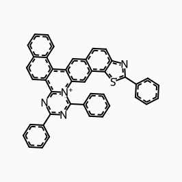 c1ccc(-c2nc(-c3ccccc3)[n+]3c4cc5c(ccc6nc(-c7ccccc7)sc65)cc4c4c5ccccc5ccc4c3n2)cc1